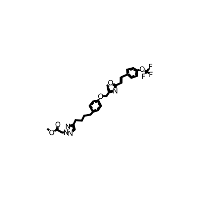 COC(=O)Cn1ncc(CCCCc2ccc(OCc3coc(/C=C/c4ccc(OC(F)(F)F)cc4)n3)cc2)n1